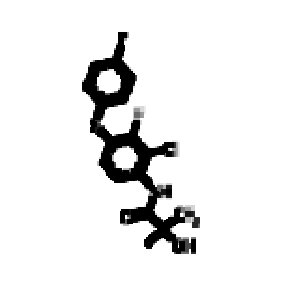 CC(O)(C(=O)Nc1ccc(Sc2ccc(F)cc2)c(F)c1Cl)C(F)(F)F